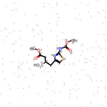 CC(C)(C)OC(=O)C[C@@H](Cc1csc(NC(=O)OC(C)(C)C)n1)C(=O)O